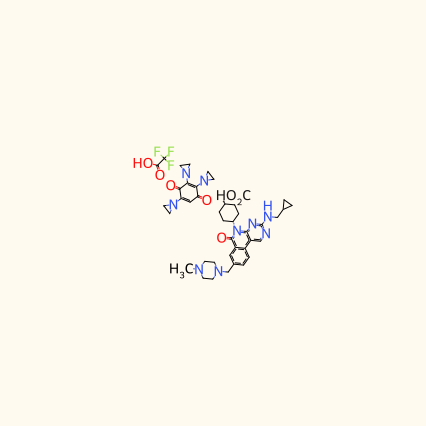 CN1CCN(Cc2ccc3c(c2)c(=O)n([C@H]2CC[C@H](C(=O)O)CC2)c2nc(NCC4CC4)ncc32)CC1.O=C(O)C(F)(F)F.O=C1C=C(N2CC2)C(=O)C(N2CC2)=C1N1CC1